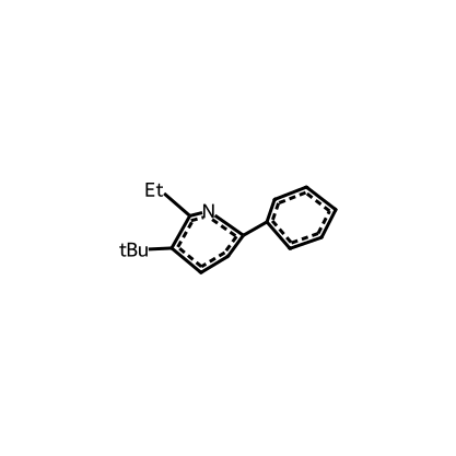 CCc1nc(-c2ccccc2)ccc1C(C)(C)C